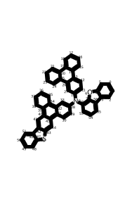 c1ccc2c(c1)oc1c(N(c3ccc4c5ccccc5c5ccccc5c4c3)c3ccc4c(c3)c3ccccc3c3cc5c(cc43)sc3ccccc35)cccc12